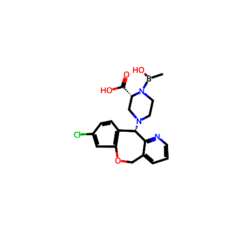 CB(O)N1CCN([C@H]2c3ccc(Cl)cc3OCc3cccnc32)C[C@@H]1C(=O)O